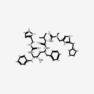 CC(C)[C@H](NC(=O)N(C)Cc1csc(CC2CCCC2)n1)C(=O)N[C@@H](Cc1ccccc1)C[C@H](O)[C@H](Cc1ccccc1)NC(=O)OCc1ccns1